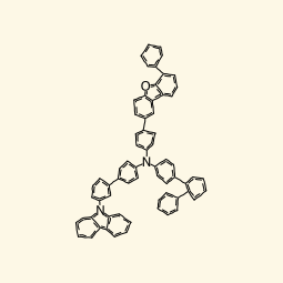 c1ccc(-c2ccccc2-c2ccc(N(c3ccc(-c4cccc(-n5c6ccccc6c6ccccc65)c4)cc3)c3ccc(-c4ccc5oc6c(-c7ccccc7)cccc6c5c4)cc3)cc2)cc1